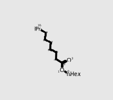 CCCCCCOC(=O)CCCCCCC(C)C